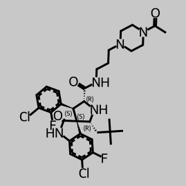 CC(=O)N1CCN(CCCNC(=O)[C@@H]2N[C@H](CC(C)(C)C)[C@]3(C(=O)Nc4cc(Cl)c(F)cc43)[C@H]2c2cccc(Cl)c2F)CC1